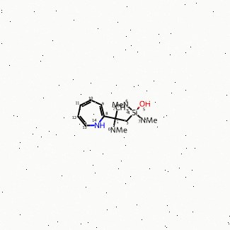 CNC(C)(C[Si](O)(NC)NC)C1=CC=CC=CN1